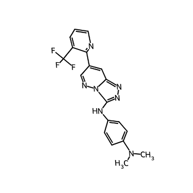 CN(C)c1ccc(Nc2nnc3cc(-c4ncccc4C(F)(F)F)cnn23)cc1